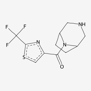 O=C(c1csc(C(F)(F)F)n1)N1C2CCC1CNC2